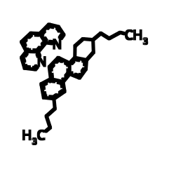 CCCCc1ccc2ccc3c4c(ccc3c2c1)CC(CCCC)CC4.c1cnc2c(c1)ccc1cccnc12